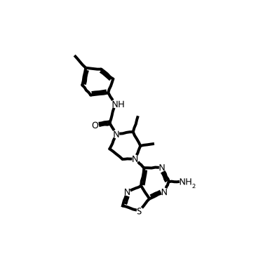 Cc1ccc(NC(=O)N2CCN(c3nc(N)nc4scnc34)C(C)C2C)cc1